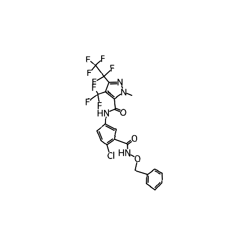 Cn1nc(C(F)(F)C(F)(F)F)c(C(F)(F)F)c1C(=O)Nc1ccc(Cl)c(C(=O)NOCc2ccccc2)c1